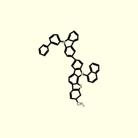 CC1C=Cc2c(sc3c2ccc2c4cc(-c5ccc6c(c5)c5ccccc5n6-c5cccc(-c6ccccc6)c5)ccc4n(-c4cccc5ccccc45)c23)C1